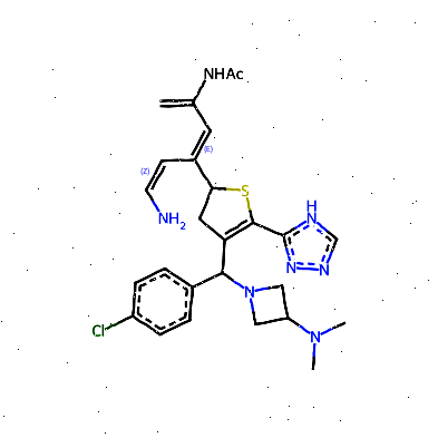 C=C(/C=C(\C=C/N)C1CC(C(c2ccc(Cl)cc2)N2CC(N(C)C)C2)=C(c2nnc[nH]2)S1)NC(C)=O